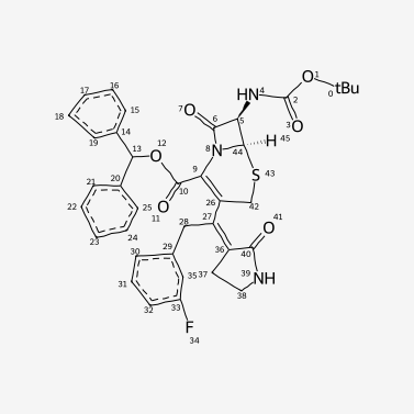 CC(C)(C)OC(=O)N[C@@H]1C(=O)N2C(C(=O)OC(c3ccccc3)c3ccccc3)=C(C(Cc3cccc(F)c3)=C3CCNC3=O)CS[C@H]12